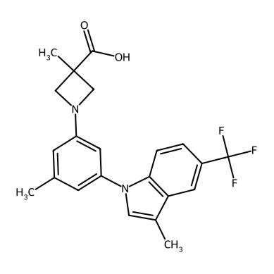 Cc1cc(N2CC(C)(C(=O)O)C2)cc(-n2cc(C)c3cc(C(F)(F)F)ccc32)c1